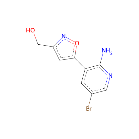 Nc1ncc(Br)cc1-c1cc(CO)no1